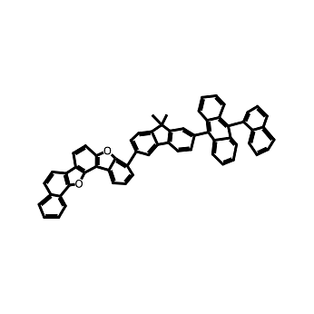 CC1(C)c2ccc(-c3cccc4c3oc3ccc5c6ccc7ccccc7c6oc5c34)cc2-c2ccc(-c3c4ccccc4c(-c4cccc5ccccc45)c4ccccc34)cc21